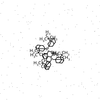 BC(c1ccccc1C(B)P(C12CC3CC(C1)CC(C(C)(C)C)(C3)C2)C12CC3CC(C1)CC(C(C)(C)C)(C3)C2)P(C12CC3CC(C1)CC(C(C)(C)C)(C3)C2)C12CC3CC(C1)CC(C(C)(C)C)(C3)C2